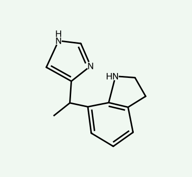 CC(c1c[nH]cn1)c1cccc2c1NCC2